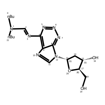 CCCCN(C=Nc1nnnc2c1ncn2[C@@H]1C[C@H](O)[C@@H](CO)O1)CCCC